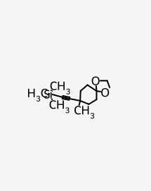 CC1(C#C[Si](C)(C)C)CCC2(CC1)OCCO2